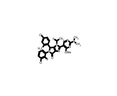 COc1nc(N(C)C)ncc1-c1nc2c(n1C(C)F)C(c1ccc(Cl)cc1C)N(c1cccc(Cl)c1F)C2=O